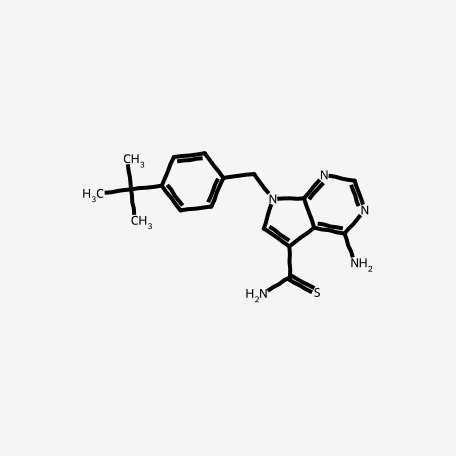 CC(C)(C)c1ccc(Cn2cc(C(N)=S)c3c(N)ncnc32)cc1